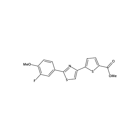 COC(=O)c1ccc(-c2csc(-c3ccc(OC)c(F)c3)n2)s1